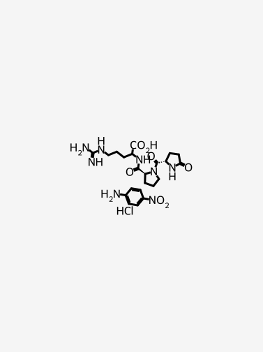 Cl.N=C(N)NCCCC(NC(=O)[C@@H]1CCCN1C(=O)[C@@H]1CCC(=O)N1)C(=O)O.Nc1ccc([N+](=O)[O-])cc1